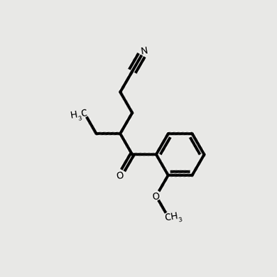 CCC(CCC#N)C(=O)c1ccccc1OC